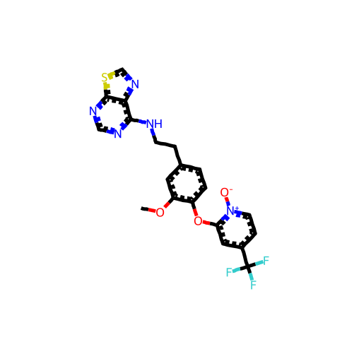 COc1cc(CCNc2ncnc3scnc23)ccc1Oc1cc(C(F)(F)F)cc[n+]1[O-]